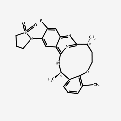 C[C@@H]1CCOc2c(cccc2C(F)(F)F)[C@@H](C)Nc2nc1nc1cc(F)c(N3CCCS3(=O)=O)cc21